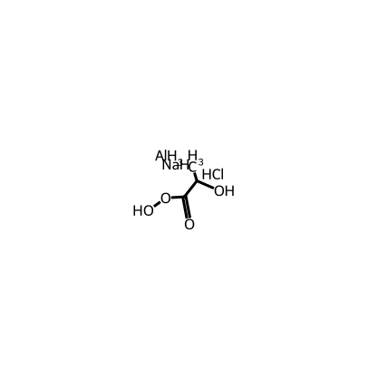 CC(O)C(=O)OO.Cl.[AlH3].[NaH]